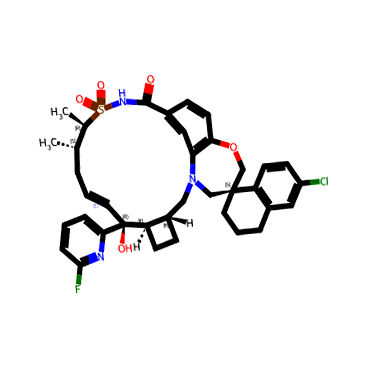 C[C@@H]1[C@@H](C)C/C=C/[C@@](O)(c2cccc(F)n2)[C@@H]2CC[C@H]2CN2C[C@@]3(CCCc4cc(Cl)ccc43)COc3ccc(cc32)C(=O)NS1(=O)=O